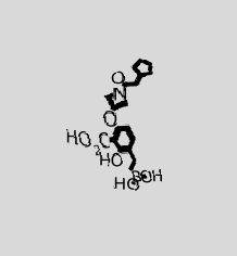 O=C(O)c1c(OC2CN(C(=O)CC3CCCC3)C2)ccc(CCB(O)O)c1O